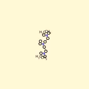 CC1(C)c2ccccc2N(c2cccc(-c3ccc(N(c4ccc(-c5cccc(N6c7ccccc7C(C)(C)c7ccccc76)c5)cc4)c4cccc5ccccc45)cc3)c2)c2ccccc21